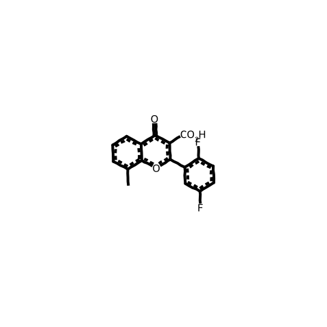 Cc1cccc2c(=O)c(C(=O)O)c(-c3cc(F)ccc3F)oc12